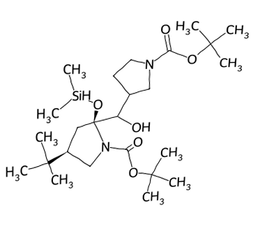 C[SiH](C)O[C@]1(C(O)C2CCN(C(=O)OC(C)(C)C)C2)C[C@H](C(C)(C)C)CN1C(=O)OC(C)(C)C